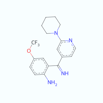 N=C(c1ccnc(N2CCCCC2)c1)c1cc(OC(F)(F)F)ccc1N